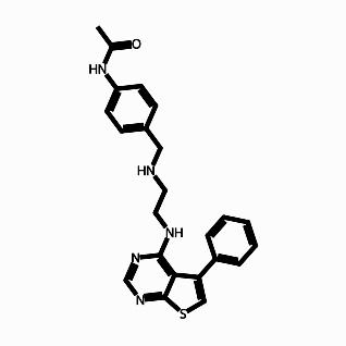 CC(=O)Nc1ccc(CNCCNc2ncnc3scc(-c4ccccc4)c23)cc1